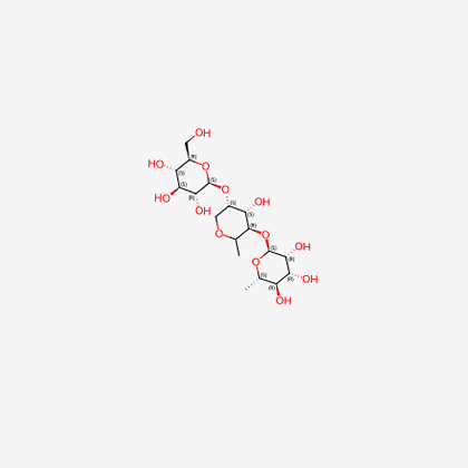 CC1OC[C@H](O[C@@H]2O[C@H](CO)[C@@H](O)[C@H](O)[C@H]2O)[C@H](O)[C@H]1O[C@@H]1O[C@@H](C)[C@H](O)[C@@H](O)[C@H]1O